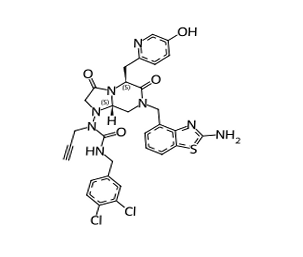 C#CCN(C(=O)NCc1ccc(Cl)c(Cl)c1)N1CC(=O)N2[C@@H](Cc3ccc(O)cn3)C(=O)N(Cc3cccc4sc(N)nc34)C[C@@H]21